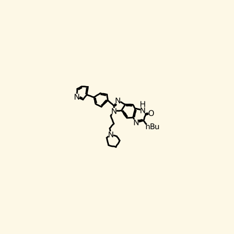 CCCCc1nc2cc3c(cc2[nH]c1=O)nc(-c1ccc(-c2cccnc2)cc1)n3CCCN1CCCCC1